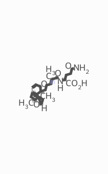 C/C(=C\CC[C@]1(C)C(=O)C=C[C@]23CC4C[C@H](O[C@]4(C)C2)C31)C(=O)N[C@@H](CCC(N)=O)C(=O)O